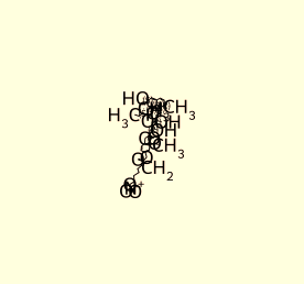 C=C(CCCCO[N+](=O)[O-])C(=O)Oc1ccc(OC(=O)C[C@H](O)C[C@H](O)CC[C@@H]2[C@@H]3C(=C[C@@H](O)C[C@@H]3OC(=O)[C@@H](C)CC)C=C[C@@H]2C)c(OC)c1